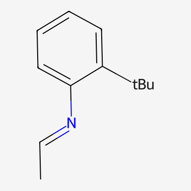 CC=Nc1ccccc1C(C)(C)C